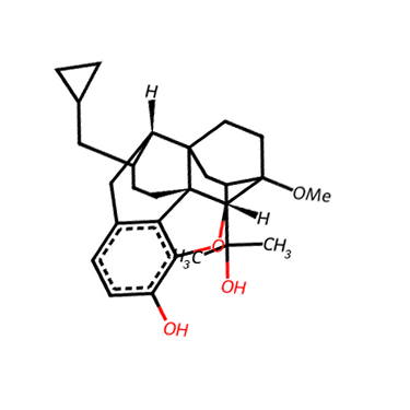 COC12CCC3(CC1C(C)(C)O)[C@H]1Cc4ccc(O)c5c4[C@@]3(CCC1CC1CC1)[C@H]2O5